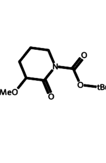 COC1CCCN(C(=O)OC(C)(C)C)C1=O